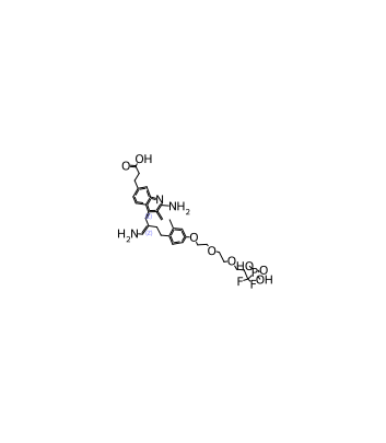 C=c1c(N)nc2cc(CCC(=O)O)ccc2/c1=C/C(=C\N)CCc1ccc(OCCOCCOCCC(F)(F)P(=O)(O)O)cc1C